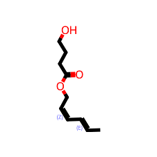 C/C=C/C=C\COC(=O)CCCO